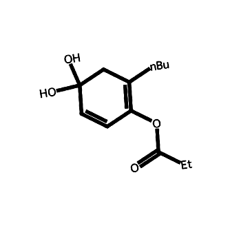 CCCCC1=C(OC(=O)CC)C=CC(O)(O)C1